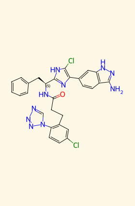 Nc1n[nH]c2cc(-c3nc([C@H](Cc4ccccc4)NC(=O)CCc4cc(Cl)ccc4-n4cnnn4)[nH]c3Cl)ccc12